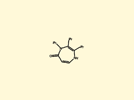 CC(C)C1=C(C(C)C)N(C(C)C)C(=O)C=CN1